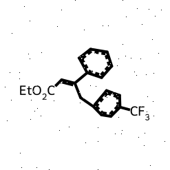 CCOC(=O)/C=C(\Cc1ccc(C(F)(F)F)cc1)c1ccccc1